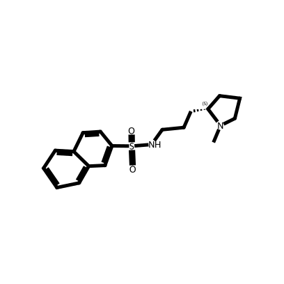 CN1CCC[C@H]1CCCNS(=O)(=O)c1ccc2ccccc2c1